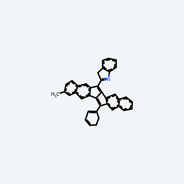 Cc1ccc2cc3c(cc2c1)C1=C(C2=CC=CCC2)c2cc4ccccc4cc2C1=C3C1=Nc2ccccc2C1